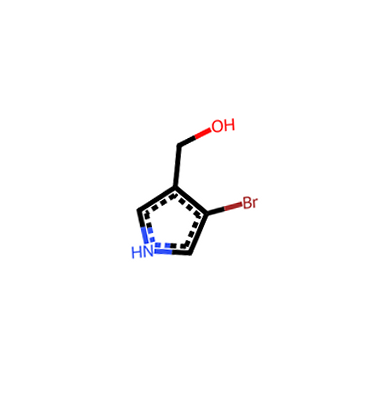 OCc1c[nH]cc1Br